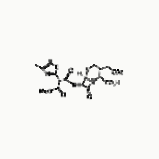 COC(=O)C(C(=O)N[C@@H]1C(=O)N2C(C(=O)O)=C(COC(C)=O)CS[C@H]12)c1nc(C)no1